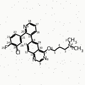 CN(C)CCCOc1ncnc2ccc(-c3cccnc3-c3ccc(F)c(Cl)c3)cc12